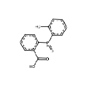 O=C(O)c1ccccc1[PH](=O)c1ccccc1O